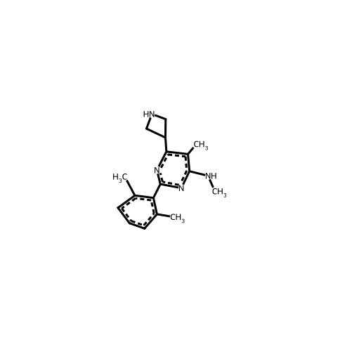 CNc1nc(-c2c(C)cccc2C)nc(C2CNC2)c1C